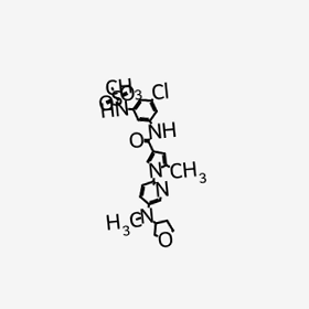 Cc1cc(C(=O)Nc2cc(Cl)cc(NS(C)(=O)=O)c2)cn1-c1ccc(N(C)C2CCOC2)cn1